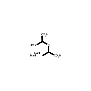 CC(NC(C(=O)O)C(=O)O)C(=O)O.[NaH].[NaH]